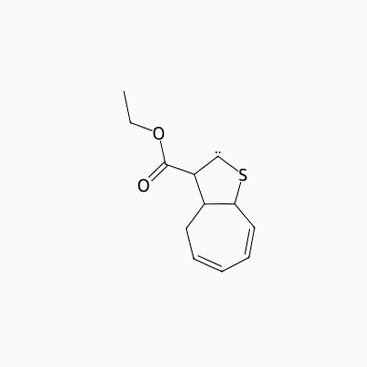 CCOC(=O)C1[C]SC2C=CC=CCC21